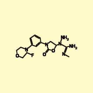 CN=C(N)N(N)C1CN(c2cccc(N3CCOCC3F)c2)C(=O)O1